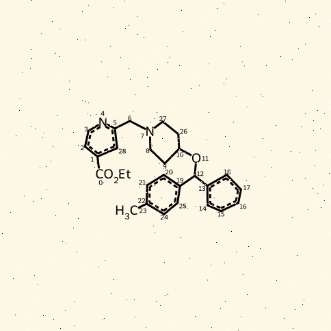 CCOC(=O)c1ccnc(CN2CCC(OC(c3ccccc3)c3ccc(C)cc3)CC2)c1